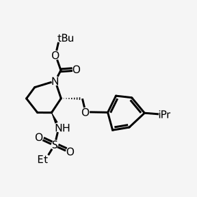 CCS(=O)(=O)N[C@H]1CCCN(C(=O)OC(C)(C)C)[C@@H]1COc1ccc(C(C)C)cc1